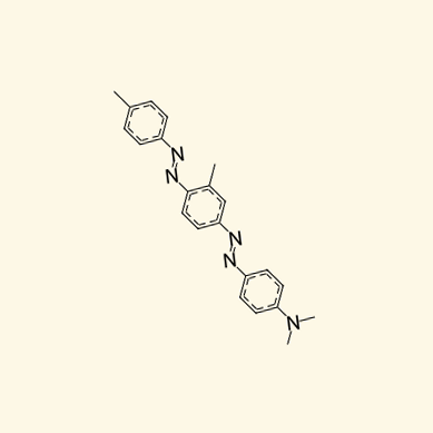 Cc1ccc(/N=N/c2ccc(/N=N/c3ccc(N(C)C)cc3)cc2C)cc1